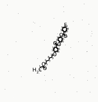 C=CC(=O)OCCCCCCOc1ccc(C(=O)Oc2ccc(OC(=O)c3ccc(F)cc3)cc2)cc1